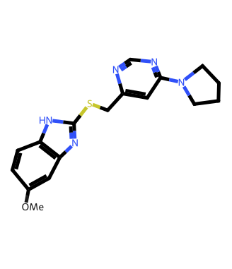 COc1ccc2[nH]c(SCc3cc(N4CCCC4)ncn3)nc2c1